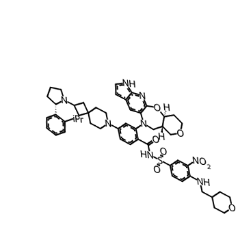 CC(C)c1ccccc1[C@@H]1CCCN1C1CC2(CCN(c3ccc(C(=O)NS(=O)(=O)c4ccc(NCC5CCOCC5)c([N+](=O)[O-])c4)c(N4C[C@H]5COCC[C@@H]5Oc5nc6[nH]ccc6cc54)c3)CC2)C1